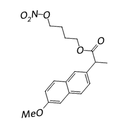 COc1ccc2cc(C(C)C(=O)OCCCCO[N+](=O)[O-])ccc2c1